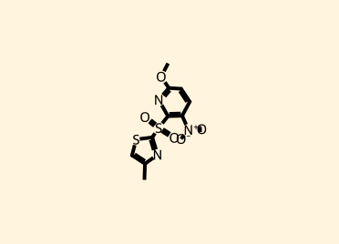 COc1ccc([N+](=O)[O-])c(S(=O)(=O)c2nc(C)cs2)n1